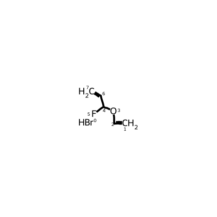 Br.C=COC(F)C=C